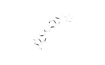 C[C@H]1CCCN1Cc1cc2cnc(NC(=O)c3ccc4c(N)nn(C)c4c3)cc2[nH]1